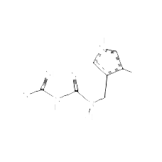 Cc1c[nH]cc1CN(C)C(=N)NC(=N)N